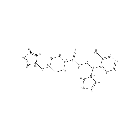 O=C(OCC(c1ccccc1Cl)n1ncnn1)N1CCC(Cn2ncnn2)CC1